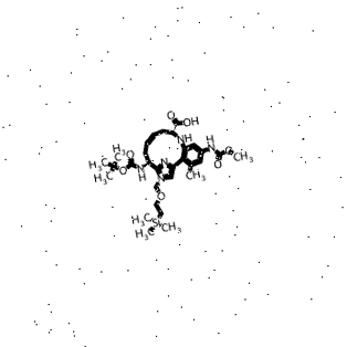 COC(=O)Nc1cc(C)c2c(c1)N[C@@H](C(=O)O)CC=CC[C@H](NC(=O)OC(C)(C)C)c1nc-2cn1COCC[Si](C)(C)C